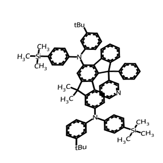 CC(C)(C)c1cccc(N(c2ccc([Si](C)(C)C)cc2)c2ccc3c(c2)C(C)(C)c2cc(N(c4ccc([Si](C)(C)C)cc4)c4cccc(C(C)(C)C)c4)c4c(c2-3)C(c2ccccc2)(c2cccnc2)c2ccccc2-4)c1